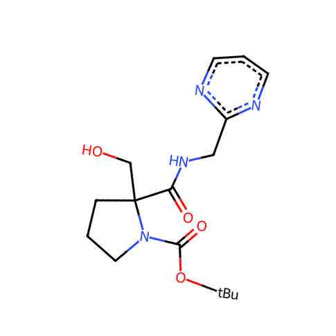 CC(C)(C)OC(=O)N1CCCC1(CO)C(=O)NCc1ncccn1